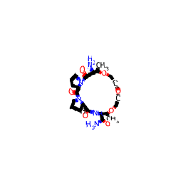 CC1OCCOCCOC(C)C(C(N)=O)NC(=O)[C@H]2CCCN2C(=O)C2CCCN2C(=O)C1N